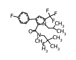 CC(C)Cn1c(C(F)(F)F)cc(-c2ccc(F)cc2)c1C(=O)N(C)CC(C)(C)C